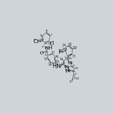 O=C(NCc1c(Cl)cccc1Cl)c1ccc(Nc2cc(-c3ccccc3F)nc3cc(C4CC4)nn23)cc1